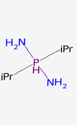 CC(C)[PH](N)(N)C(C)C